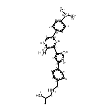 CC(O)CNCc1ccc(-c2cc(-c3nc(-c4ccc([S+]([O-])C(C)C)cc4)cnc3N)on2)cc1